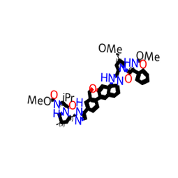 COC[C@H]1CC(c2nc3ccc4cc5c(cc4c3[nH]2)OCc2cc(-c3cnc([C@@H]4C[C@H](C)CN4C(=O)[C@@H](NC(=O)OC)C(C)C)[nH]3)ccc2-5)N(C(=O)[C@H](NC(=O)OC)c2ccccc2)C1